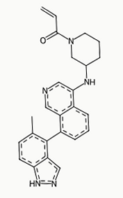 C=CC(=O)N1CCCC(Nc2cncc3c(-c4c(C)ccc5[nH]ncc45)cccc23)C1